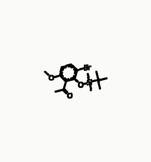 COc1ccc(Br)c(O[Si](C)(C)C(C)(C)C)c1C(C)=O